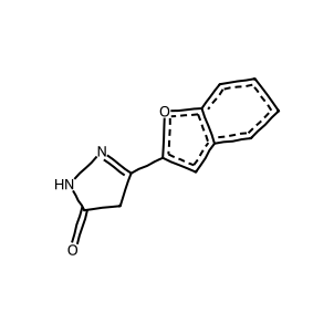 O=C1CC(c2cc3ccccc3o2)=NN1